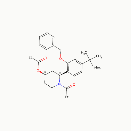 CCCCCCC(C)(C)c1ccc([C@@H]2C[C@H](OC(=O)CC)CCN2C(=O)CC)c(OCc2ccccc2)c1